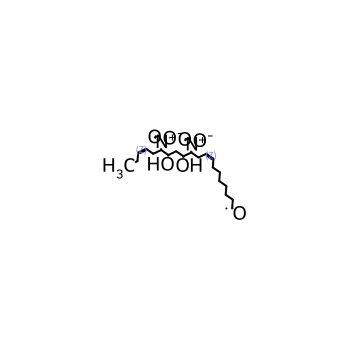 CC/C=C\CC(C(O)CC(O)C(C/C=C\CCCCCC[C]=O)[N+](=O)[O-])[N+](=O)[O-]